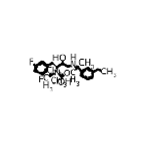 CCc1cccc(C(C)(C)NC[C@H](O)[C@H](Cc2cc(F)cc(F)c2)N(C(=O)O)C(C)(C)C)c1